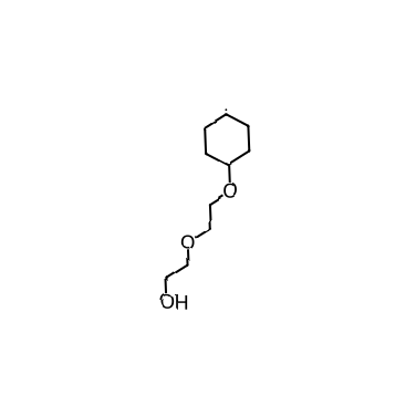 OCCOCCOC1CC[CH]CC1